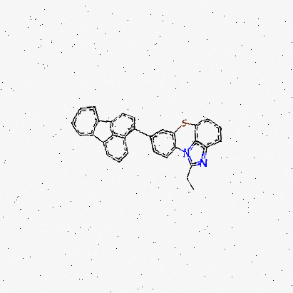 CCc1nc2cccc3c2n1-c1ccc(-c2ccc4c5c(cccc25)-c2ccccc2-4)cc1S3